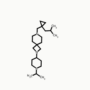 CC(C)CC1(CN2CCC3(CC2)CN(C2CCN(C(C)C)CC2)C3)CC1